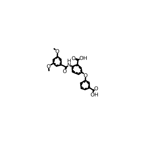 COc1cc(OC)cc(C(=O)Nc2ccc(Oc3cccc(C(=O)O)c3)cc2C(=O)O)c1